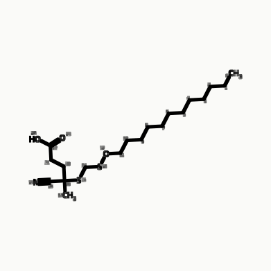 CCCCCCCCCCCCOSCSC(C)(C#N)CCC(=O)O